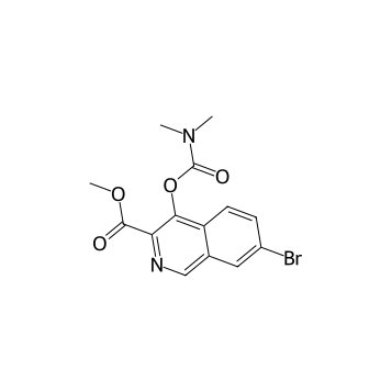 COC(=O)c1ncc2cc(Br)ccc2c1OC(=O)N(C)C